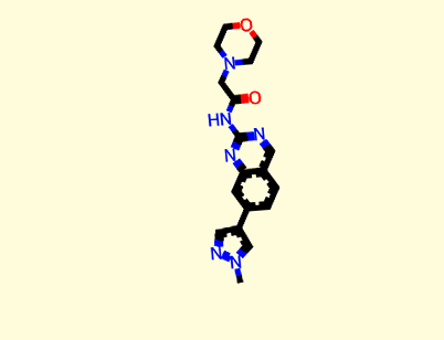 Cn1cc(-c2ccc3cnc(NC(=O)CN4CCOCC4)nc3c2)cn1